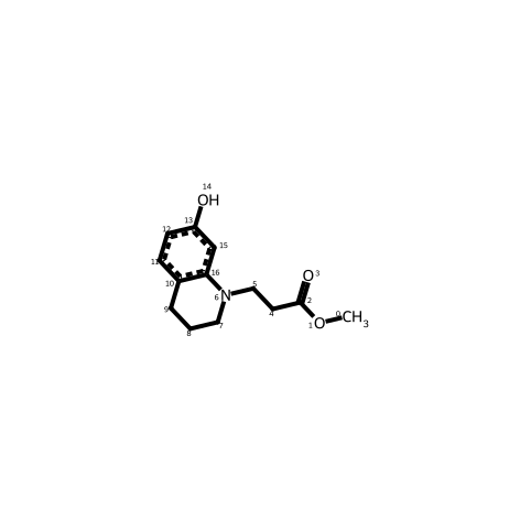 COC(=O)CCN1CCCc2ccc(O)cc21